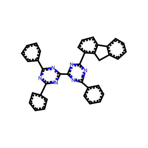 c1ccc(-c2nc(-c3ccccc3)nc(-c3nc(-c4ccccc4)nc(-c4cccc5c4Cc4ccccc4-5)n3)n2)cc1